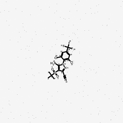 CC(C)(C)S(=O)(=O)c1c(C#N)nn(-c2c(Cl)cc(C(F)(F)F)cc2Cl)c1N